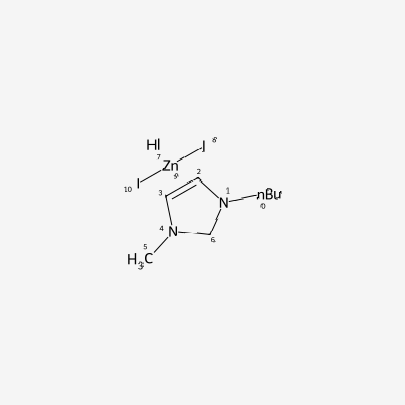 CCCCN1C=CN(C)C1.I.[I][Zn][I]